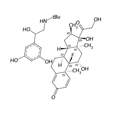 CC(C)(C)NCC(O)c1cc(O)cc(O)c1.C[C@@H]1C[C@H]2[C@@H]3CCC4=CC(=O)C=C[C@]4(C)[C@@]3(F)[C@@H](O)C[C@]2(C)[C@@]1(O)C(=O)CO